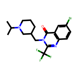 CC(C)N1CCCC(Cn2c(C(F)(F)F)nc3ccc(Br)cc3c2=O)C1